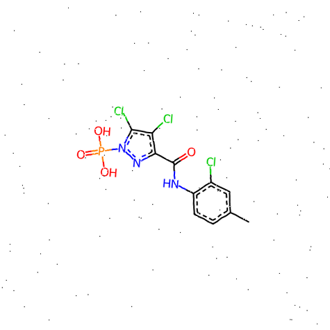 Cc1ccc(NC(=O)c2nn(P(=O)(O)O)c(Cl)c2Cl)c(Cl)c1